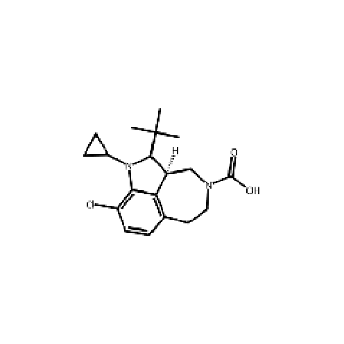 CC(C)(C)C1[C@H]2CN(C(=O)O)CCc3ccc(Cl)c(c32)N1C1CC1